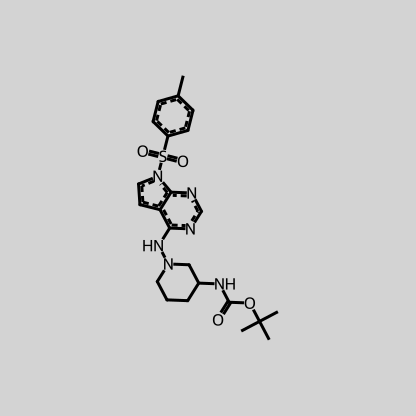 Cc1ccc(S(=O)(=O)n2ccc3c(NN4CCCC(NC(=O)OC(C)(C)C)C4)ncnc32)cc1